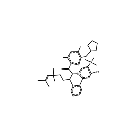 C=C(C1C(CCC(C)(C)C=C(C)C)c2ccccc2-c2cc(C(C)C)c([Si](C)(C)C)c[n+]21)[n+]1cc(CC2CCCC2)c(C)cc1C